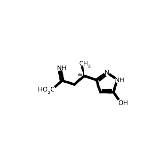 C[C@H](CC(=N)C(=O)O)c1cc(O)[nH]n1